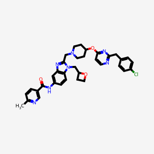 Cc1ccc(C(=O)Nc2ccc3c(c2)nc(CN2CCC(Oc4ccnc(Cc5ccc(Cl)cc5)n4)CC2)n3CC2CCO2)cn1